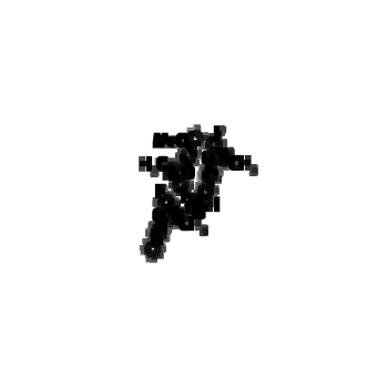 COc1ccccc1N1CCN(C(=O)c2cc(C)nn2-c2ccc(F)cc2)CC1.Cc1cc(C(=O)N2CCN(c3ccc(NS(C)(=O)=O)cc3)CC2)n(-c2cccc(F)c2)n1.Cc1cc(C(=O)N2CCN(c3ccccc3)CC2)n(-c2ccc(F)cc2)n1